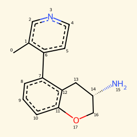 Cc1cnccc1-c1cccc2c1C[C@H](N)CO2